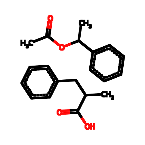 CC(=O)OC(C)c1ccccc1.CC(Cc1ccccc1)C(=O)O